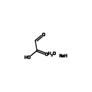 O.O=CC(=O)O.[NaH]